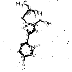 C[C@@H](O)Cn1nc(-c2ccc(F)cn2)cc1CO